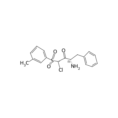 Cc1cccc(S(=O)(=O)[C](Cl)C(=O)[C@@H](N)Cc2ccccc2)c1